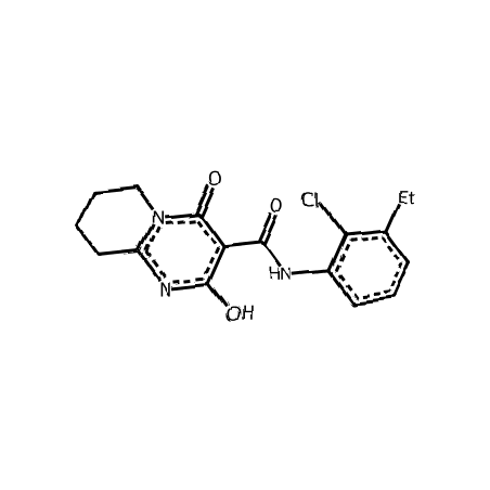 CCc1cccc(NC(=O)c2c(O)nc3n(c2=O)CCCC3)c1Cl